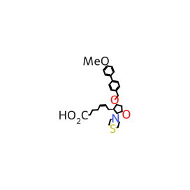 COc1ccc(-c2ccc(CO[C@H]3CC(=O)[C@H](N4CCSCC4)[C@H]3C/C=C\CCCC(=O)O)cc2)cc1